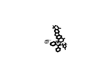 CC1=CC(C)[C]([Zr+2](=[C](c2ccccc2)c2ccccc2)[CH]2C=C(C)c3cc4c(cc3C2(C)C)Cc2cc3c(cc2-4)C(C)=CCC3(C)C)=C1.[Cl-].[Cl-]